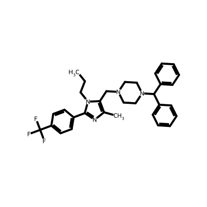 CCCn1c(-c2ccc(C(F)(F)F)cc2)nc(C)c1CN1CCN(C(c2ccccc2)c2ccccc2)CC1